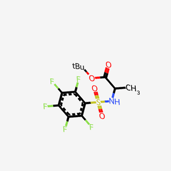 CC(NS(=O)(=O)c1c(F)c(F)c(F)c(F)c1F)C(=O)OC(C)(C)C